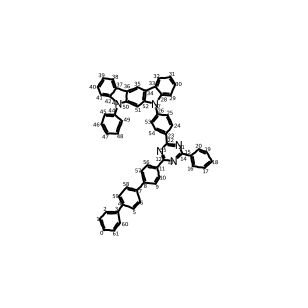 c1ccc(-c2ccc(-c3ccc(-c4nc(-c5ccccc5)nc(-c5ccc(-n6c7ccccc7c7cc8c9ccccc9n(-c9ccccc9)c8cc76)cc5)n4)cc3)cc2)cc1